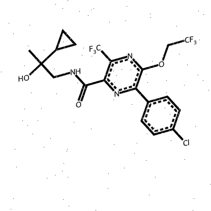 CC(O)(CNC(=O)c1nc(-c2ccc(Cl)cc2)c(OCC(F)(F)F)nc1C(F)(F)F)C1CC1